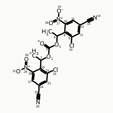 CC(OC(=O)OC(C)c1c(Cl)cc(C#N)cc1[N+](=O)[O-])c1c(Cl)cc(C#N)cc1[N+](=O)[O-]